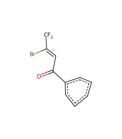 O=C(/C=C(\Br)C(F)(F)F)c1ccccc1